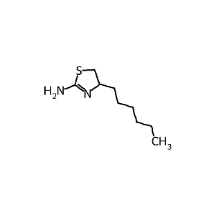 CCCCCCC1CSC(N)=N1